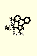 Cc1nc2c3ccccc3c3cccc4c3n2c1C(C)(C)[Si]4(C)C